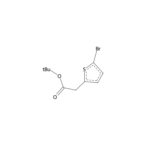 CC(C)(C)OC(=O)Cc1ccc(Br)s1